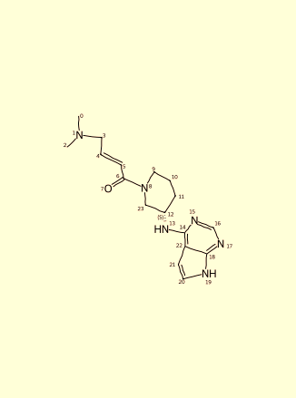 CN(C)CC=CC(=O)N1CCC[C@H](Nc2ncnc3[nH]ccc23)C1